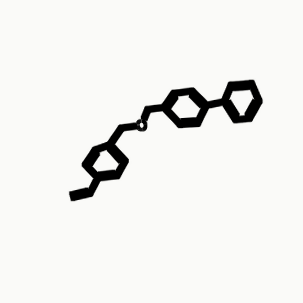 C=Cc1ccc(COCc2ccc(-c3ccccc3)cc2)cc1